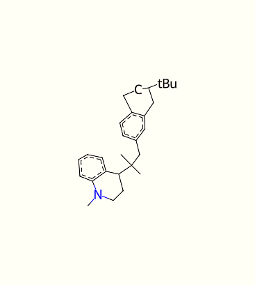 CN1CCC(C(C)(C)Cc2ccc3c(c2)CC(C(C)(C)C)CC3)c2ccccc21